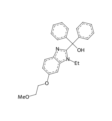 CCn1c(C(O)(c2ccccc2)c2ccccc2)nc2ccc(OCCOC)cc21